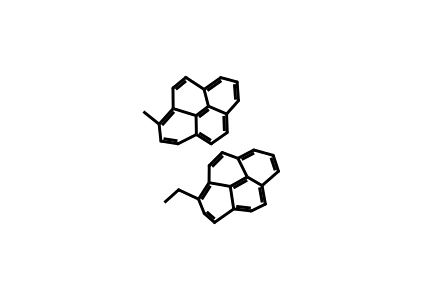 CCc1ccc2ccc3cccc4ccc1c2c34.Cc1ccc2ccc3cccc4ccc1c2c34